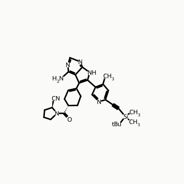 Cc1cc(C#C[Si](C)(C)C(C)(C)C)ncc1-c1[nH]c2ncnc(N)c2c1C1=CC[C@@H](C(=O)N2CCC[C@H]2C#N)CC1